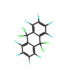 Fc1c(F)c(F)c2c(c1F)C(Cl)(Cl)c1c(F)c(F)c(F)c(F)c1C2(Cl)Cl